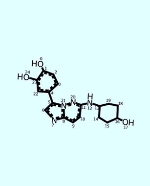 Oc1ccc(-c2cnc3ccc(NC4CCC(O)CC4)nn23)cc1O